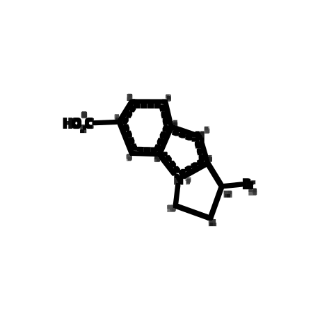 O=C(O)c1ccc2nc3n(c2c1)CCC3Br